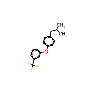 CC(C)Cc1ccc(Oc2cccc(C(F)(F)F)c2)cc1